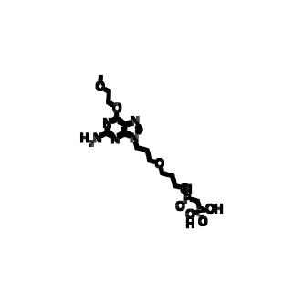 COCCOc1nc(N)nc2c1ncn2CCCOCCCO[PH](=O)CP(=O)(O)O